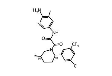 Cc1cc(NC(=O)C(=O)N2C[C@H](C)CC[C@H]2c2cc(Cl)cc(C(F)(F)F)c2)cnc1N